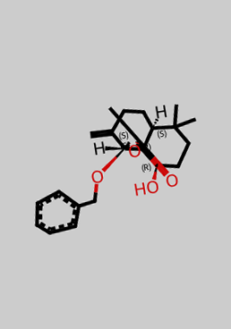 C=C1CC[C@H]2C(C)(C)CC[C@@H](O)[C@@]23C(=O)O[C@H](OCc2ccccc2)[C@@H]13